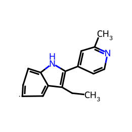 CCc1c(-c2ccnc(C)c2)[nH]c2cc[c]cc12